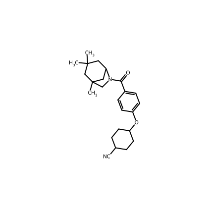 CC1(C)CC2CC(C)(CN2C(=O)c2ccc(OC3CCC(C#N)CC3)cc2)C1